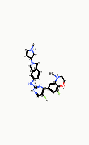 CC(C)N1CCOc2c(F)cc(-c3nc(Nc4ccc5c(c4)CN(C4CCN(C)C4)C5)ncc3F)cc21